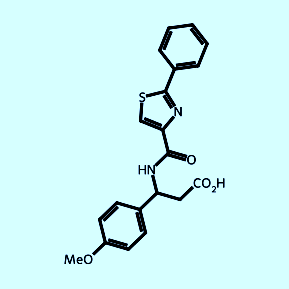 COc1ccc(C(CC(=O)O)NC(=O)c2csc(-c3ccccc3)n2)cc1